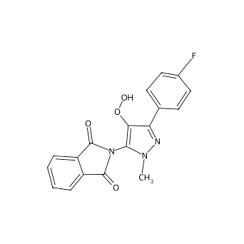 Cn1nc(-c2ccc(F)cc2)c(OO)c1N1C(=O)c2ccccc2C1=O